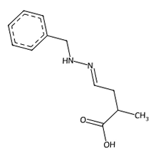 CC(CC=NNCc1ccccc1)C(=O)O